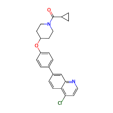 O=C(C1CC1)N1CCC(Oc2ccc(-c3ccc4c(Cl)ccnc4c3)cc2)CC1